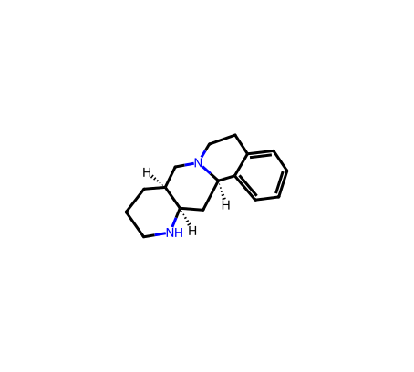 c1ccc2c(c1)CCN1C[C@@H]3CCCN[C@@H]3C[C@H]21